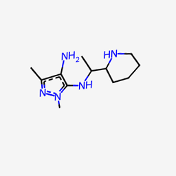 Cc1nn(C)c(NC(C)C2CCCCN2)c1N